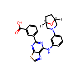 O=C(O)c1cccc(-c2nc(Nc3cccc(N4C[C@H]5CC[C@@H](C4)O5)c3)c3ncsc3n2)c1